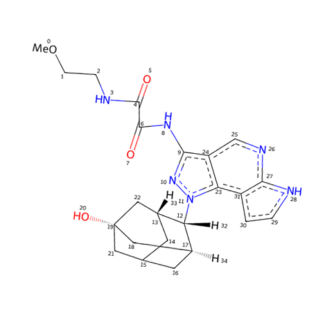 COCCNC(=O)C(=O)Nc1nn([C@H]2[C@@H]3CC4C[C@H]2C[C@@](O)(C4)C3)c2c1cnc1[nH]ccc12